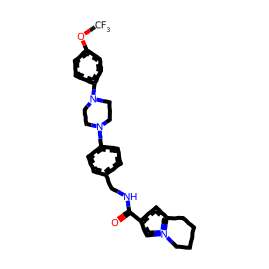 O=C(NCc1ccc(N2CCN(c3ccc(OC(F)(F)F)cc3)CC2)cc1)c1cc2n(c1)CCCC2